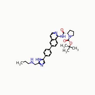 CCCNCc1ncc(-c2ccc(-c3ccc4c(NC(=O)[C@@H]5CCCN5C(=O)OC(C)(C)C)nccc4c3)cc2)[nH]1